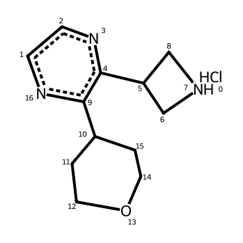 Cl.c1cnc(C2CNC2)c(C2CCOCC2)n1